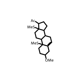 COC1CCC2(SC)C(=CCC3C2CCC2(SC)C(C(C)=O)CCC32)C1